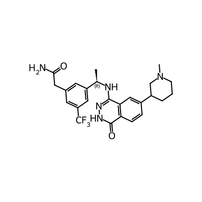 C[C@@H](Nc1n[nH]c(=O)c2ccc(C3CCCN(C)C3)cc12)c1cc(CC(N)=O)cc(C(F)(F)F)c1